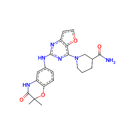 CC1(C)Oc2ccc(Nc3nc(N4CCCC(C(N)=O)C4)c4occc4n3)cc2NC1=O